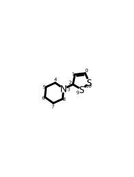 C1=CC(N2CCCCC2)SS1